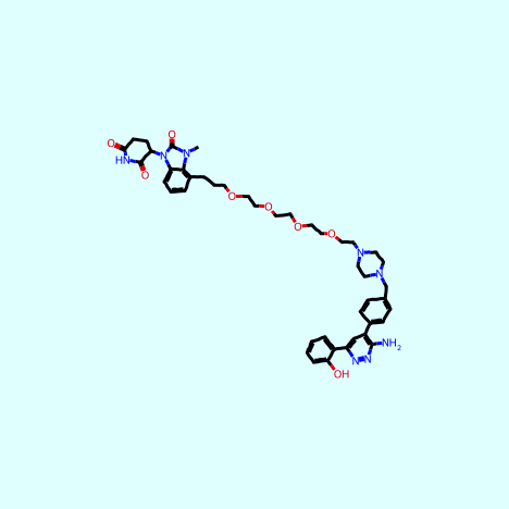 Cn1c(=O)n(C2CCC(=O)NC2=O)c2cccc(CCCOCCOCCOCCOCCN3CCN(Cc4ccc(-c5cc(-c6ccccc6O)nnc5N)cc4)CC3)c21